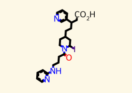 O=C(O)CC(CCC1CCN(C(=O)CCCNc2ccccn2)C(I)C1)c1cccnc1